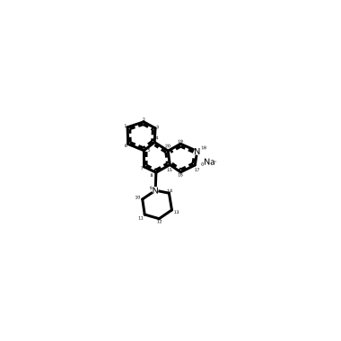 [Na].c1ccc2c(c1)cc(N1CCCCC1)c1ccncc12